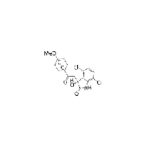 COC12CCC(C(=O)C[C@@]3(O)C(=O)Nc4c(Cl)ccc(Cl)c43)(CC1)CC2